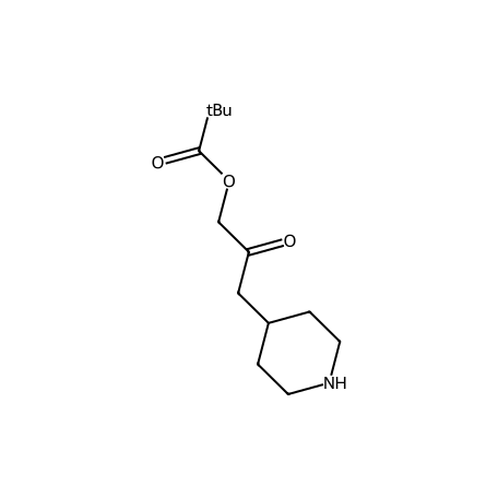 CC(C)(C)C(=O)OCC(=O)CC1CCNCC1